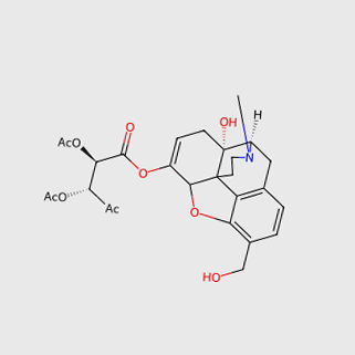 CC(=O)O[C@@H](C(C)=O)[C@@H](OC(C)=O)C(=O)OC1=CC[C@@]2(O)[C@H]3Cc4ccc(CO)c5c4C2(CCN3C)C1O5